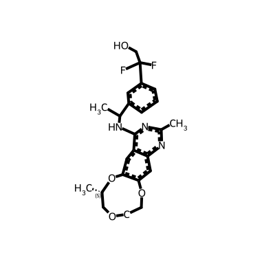 Cc1nc(NC(C)c2cccc(C(F)(F)CO)c2)c2cc3c(cc2n1)OCCOC[C@H](C)O3